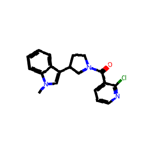 Cn1cc(C2CCN(C(=O)c3cccnc3Cl)C2)c2ccccc21